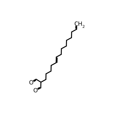 C=CCCCCCCC=CCCCCC(C=O)C=O